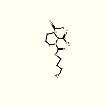 CCCCOC(=O)N1CCC[C@@H](C(=O)O)N1C(=O)O